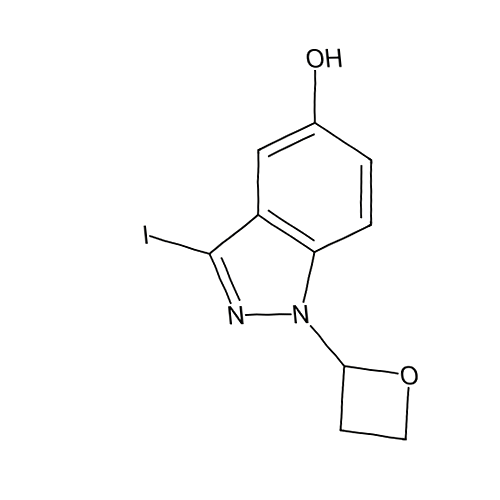 Oc1ccc2c(c1)c(I)nn2C1CCO1